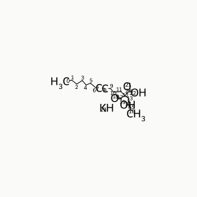 CCCCCCCCCCCCC(CCCC)(C(=O)O)C(=O)O.[KH]